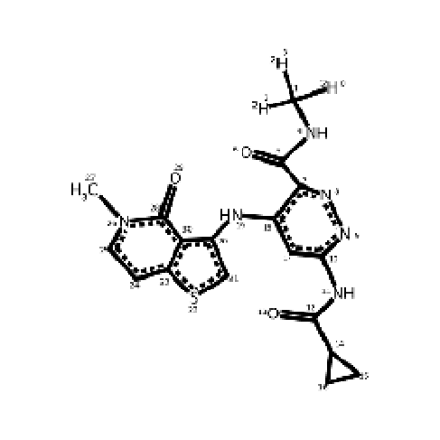 [2H]C([2H])([2H])NC(=O)c1nnc(NC(=O)C2CC2)cc1Nc1csc2ccn(C)c(=O)c12